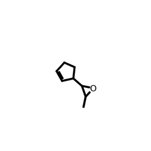 CC1OC1C1C=CCC1